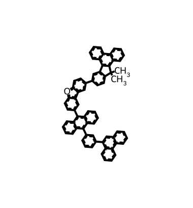 CC1(C)c2ccc(-c3ccc4oc5ccc(-c6c7ccccc7c(-c7cccc(-c8cc9ccccc9c9ccccc89)c7)c7ccccc67)cc5c4c3)cc2-c2c1c1ccccc1c1ccccc21